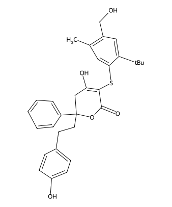 Cc1cc(SC2=C(O)CC(CCc3ccc(O)cc3)(c3ccccc3)OC2=O)c(C(C)(C)C)cc1CO